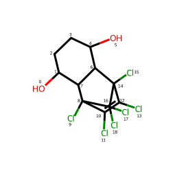 OC1CCC(O)C2C1C1(Cl)C(Cl)=C(Cl)C2(Cl)C1(Cl)Cl